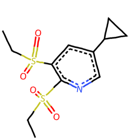 CCS(=O)(=O)c1cc(C2CC2)cnc1S(=O)(=O)CC